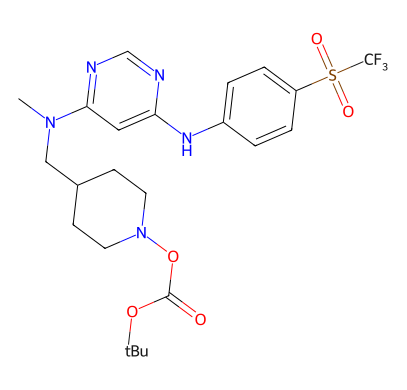 CN(CC1CCN(OC(=O)OC(C)(C)C)CC1)c1cc(Nc2ccc(S(=O)(=O)C(F)(F)F)cc2)ncn1